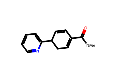 CNC(=O)C1=CCC(c2ccccn2)C=C1